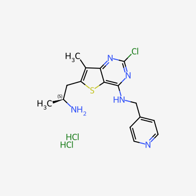 Cc1c(C[C@H](C)N)sc2c(NCc3ccncc3)nc(Cl)nc12.Cl.Cl